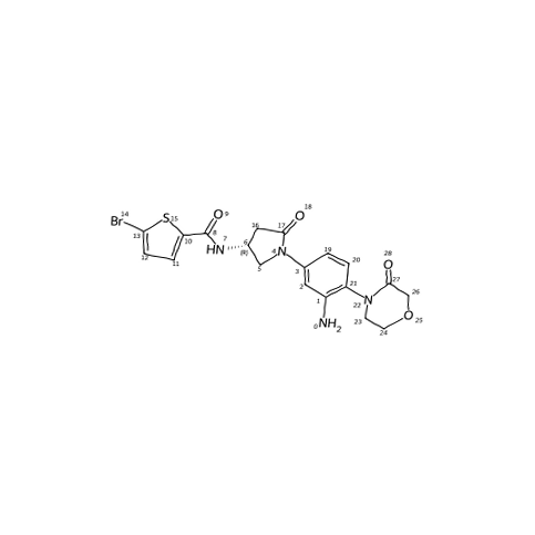 Nc1cc(N2C[C@H](NC(=O)c3ccc(Br)s3)CC2=O)ccc1N1CCOCC1=O